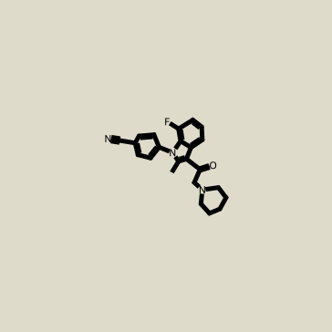 Cc1c(C(=O)CN2CCCCC2)c2cccc(F)c2n1-c1ccc(C#N)cc1